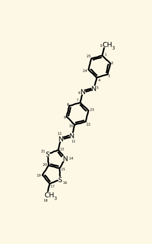 Cc1ccc(N=Nc2ccc(N=Nc3nc4sc(C)cc4s3)cc2)cc1